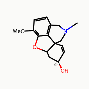 COc1ccc2c3c1OC1C[C@H](O)C=CC31CCN(C)C2